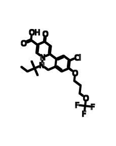 CCC(C)(C)N1Cc2cc(OCCCOC(F)(F)F)c(Cl)cc2-c2cc(=O)c(C(=O)O)cn21